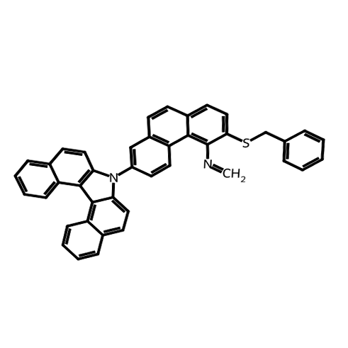 C=Nc1c(SCc2ccccc2)ccc2ccc3cc(-n4c5ccc6ccccc6c5c5c6ccccc6ccc54)ccc3c12